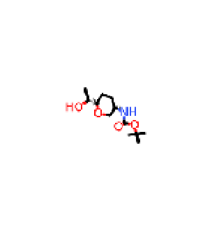 CC(O)[C@@H]1CC[C@@H](NC(=O)OC(C)(C)C)CO1